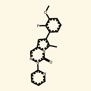 COc1cccc(-c2cc3cnn(-c4ccccn4)c(=O)n3c2C)c1F